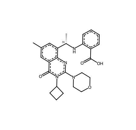 Cc1cc([C@H](C)Nc2ccccc2C(=O)O)c2nc(N3CCOCC3)n(C3CCC3)c(=O)c2c1